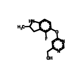 CC1Cc2c(ccc(Oc3cc(CO)ncn3)c2F)N1